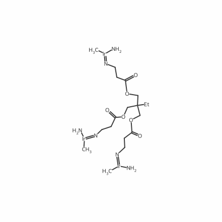 CCC(COC(=O)CC[N]=[Ir]([CH3])[NH2])(COC(=O)CC[N]=[Ir]([CH3])[NH2])COC(=O)CC[N]=[Ir]([CH3])[NH2]